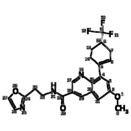 COc1cc(C2=CC[C@@H](C(F)(F)F)CC2)c2ncc(C(=O)NCCc3ncco3)cc2c1